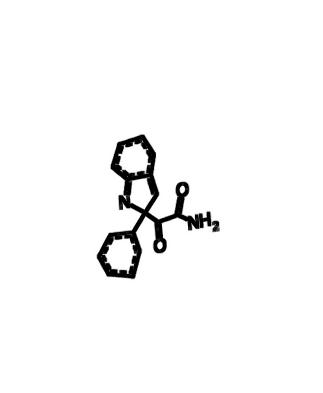 NC(=O)C(=O)C1(c2ccccc2)C=c2ccccc2=N1